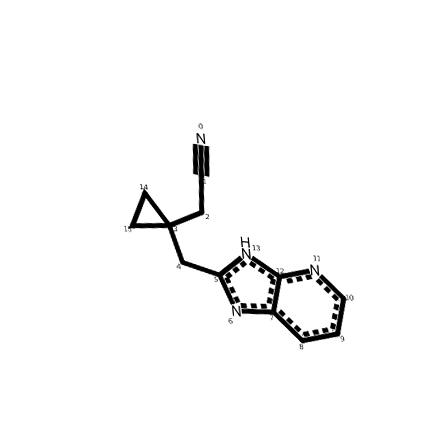 N#CCC1(Cc2nc3cccnc3[nH]2)CC1